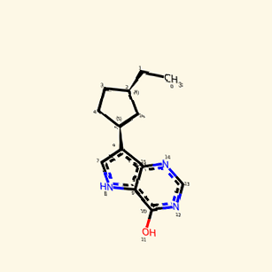 CC[C@@H]1CC[C@H](c2c[nH]c3c(O)ncnc23)C1